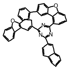 C1=C(c2nc(-c3ccc4ccccc4c3)nc(-c3cccc4oc5ccc(-c6ccccc6)cc5c34)n2)CCc2oc3ccccc3c21